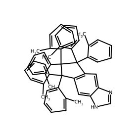 Cc1ccccc1C1(c2ccccc2C)c2cc3nc[nH]c3cc2C(c2ccccc2C)(c2ccccc2C)C1(c1ccccc1C)c1ccccc1C